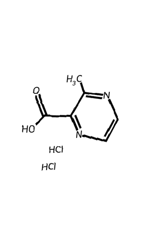 Cc1nccnc1C(=O)O.Cl.Cl